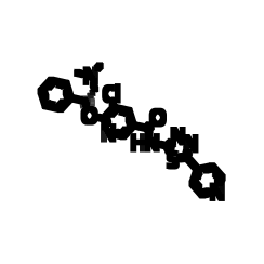 CN(C)C[C@H](Oc1ncc(C(=O)Nc2nnc(-c3ccncc3)s2)cc1Cl)c1ccccc1